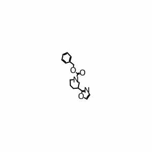 O=C(OCc1ccccc1)N1CCCC(c2ncco2)C1